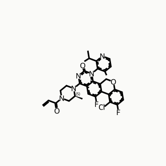 C=CC(=O)N1CCN(c2nc(=O)n(-c3c(C)ccnc3C(C)C)c3c4c(c(F)cc23)-c2c(ccc(F)c2Cl)OC4)[C@@H](C)C1